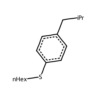 [CH2]C(C)Cc1ccc(SCCCCCC)cc1